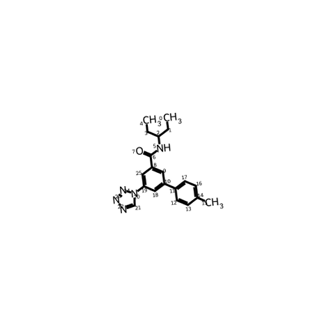 CCC(CC)NC(=O)c1cc(-c2ccc(C)cc2)cc(-n2cnnn2)c1